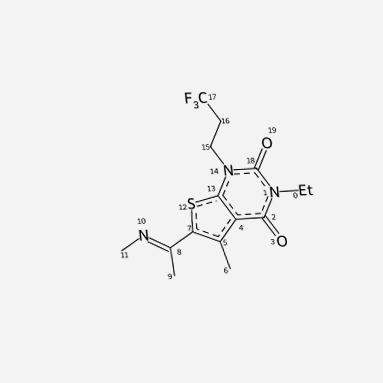 CCn1c(=O)c2c(C)c(/C(C)=N/C)sc2n(CCC(F)(F)F)c1=O